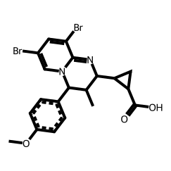 COc1ccc(C2C(C)C(C3CC3C(=O)O)N=C3C(Br)=CC(Br)=CN32)cc1